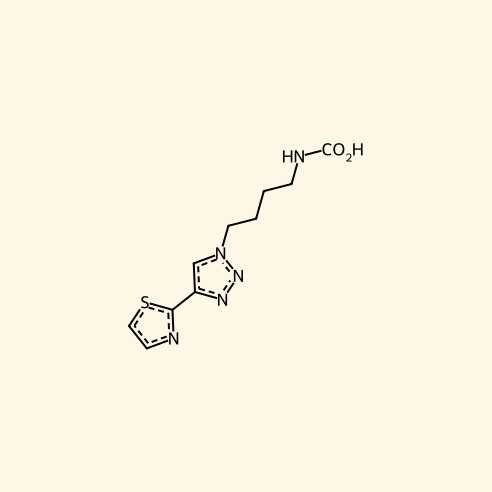 O=C(O)NCCCCn1cc(-c2nccs2)nn1